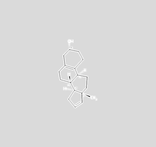 C[C@@]12C=CC[C@H]1[C@@H]1CCC3=C(CC[C@@H](O)C3)[C@H]1CC2